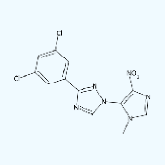 Cn1cnc([N+](=O)[O-])c1-n1cnc(-c2cc(Cl)cc(Cl)c2)n1